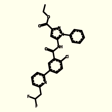 CCOC(=O)c1cc(NC(=O)c2cc(-c3cccc(CC(F)F)n3)ccc2Cl)n(-c2ccccc2)n1